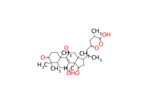 CC(CC(=O)CC(C)C1CC(=O)C2(C)C3=C(C(=O)CC12C)C1(C)CCC(=O)C(C)(C)C1CC3O)C(=O)O